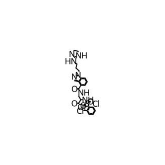 O=C(NCC(NS(=O)(=O)c1c(Cl)cccc1Cl)C(=O)O)c1cccc2c1cnn2CCCNC1=NCCN1